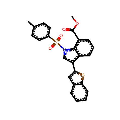 COC(=O)c1cccc2c(-c3cc4ccccc4s3)cn(S(=O)(=O)c3ccc(C)cc3)c12